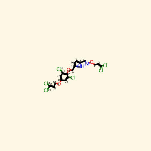 ClC(Cl)=CCON=Cc1ccc(COc2c(Cl)cc(OCC=C(Cl)Cl)cc2Cl)[nH]1